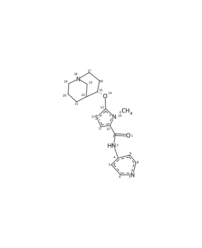 C.O=C(Nc1ccncc1)c1csc(O[C@H]2CCN3CCCC2C3)n1